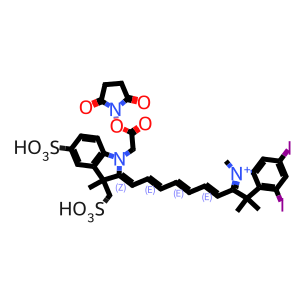 C[N+]1=C(/C=C/C=C/C=C/C=C2\N(CC(=O)ON3C(=O)CCC3=O)c3ccc(S(=O)(=O)O)cc3C2(C)CS(=O)(=O)O)C(C)(C)c2c(I)cc(I)cc21